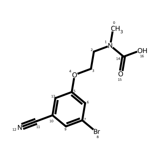 CN(CCOc1cc(Br)cc(C#N)c1)C(=O)O